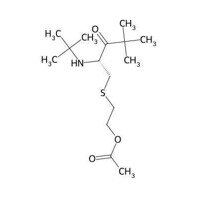 CC(=O)OCCSC[C@H](NC(C)(C)C)C(=O)C(C)(C)C